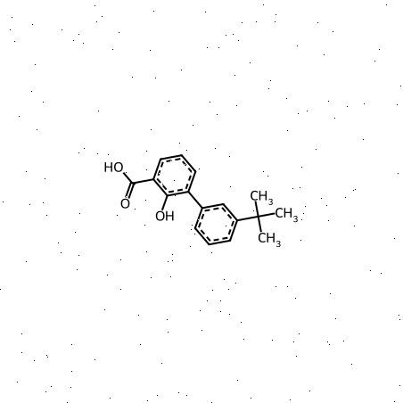 CC(C)(C)c1cccc(-c2cccc(C(=O)O)c2O)c1